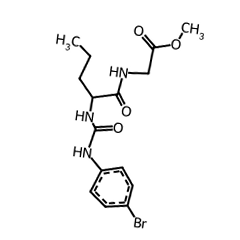 CCCC(NC(=O)Nc1ccc(Br)cc1)C(=O)NCC(=O)OC